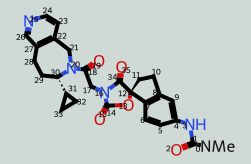 CNC(=O)Nc1ccc2c(c1)CC[C@]21OC(=O)N(CC(=O)N2Cc3ccncc3CC[C@H]2C2CC2)C1=O